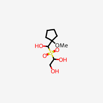 COC1(C(O)S(=O)(=O)C(O)CO)CCCC1